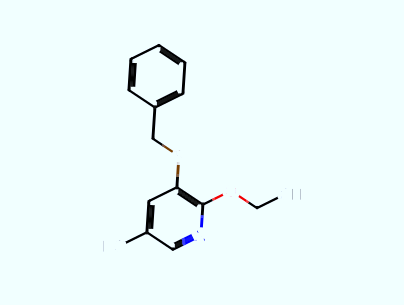 CCOc1ncc(C)cc1SCc1ccccc1